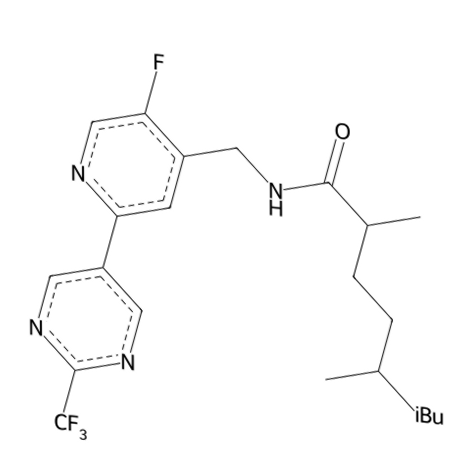 CCC(C)C(C)CCC(C)C(=O)NCc1cc(-c2cnc(C(F)(F)F)nc2)ncc1F